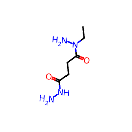 CCN(N)C(=O)CCC(=O)NN